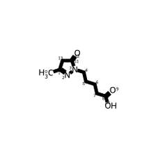 CC1=NN(CCCCC(=O)O)C(=O)C1